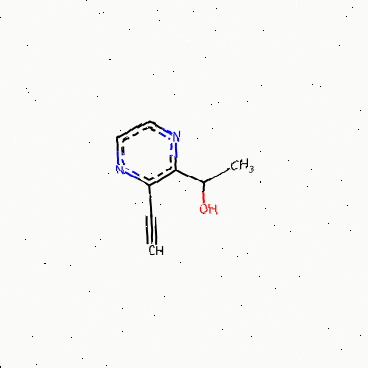 C#Cc1nccnc1C(C)O